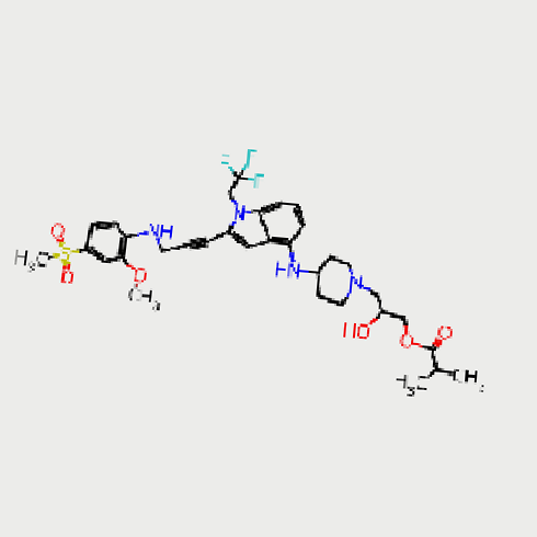 COc1cc(S(C)(=O)=O)ccc1NCC#Cc1cc2c(NC3CCN(CC(O)COC(=O)C(C)C)CC3)cccc2n1CC(F)(F)F